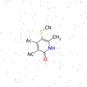 CC(=O)c1c(SC#N)c(C)[nH]c(=O)c1C#N